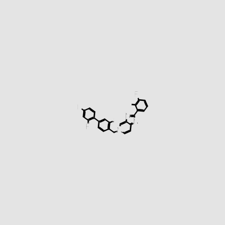 Fc1ccc(-c2ccc(Cn3ccc4nc(-c5cccc(F)c5F)nc-4c3)c(F)c2)c(F)c1